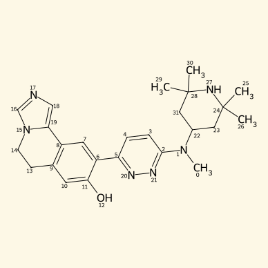 CN(c1ccc(-c2cc3c(cc2O)CCn2cncc2-3)nn1)C1CC(C)(C)NC(C)(C)C1